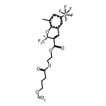 Cc1cc(S(F)(F)(F)(F)F)cc2c1O[C@H](C(F)(F)F)C(C(=O)OCCOC(=O)CCCO[N+](=O)[O-])=C2